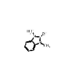 CN1c2ccccc2N(C)[S+]1[O-]